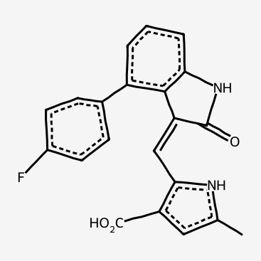 Cc1cc(C(=O)O)c(C=C2C(=O)Nc3cccc(-c4ccc(F)cc4)c32)[nH]1